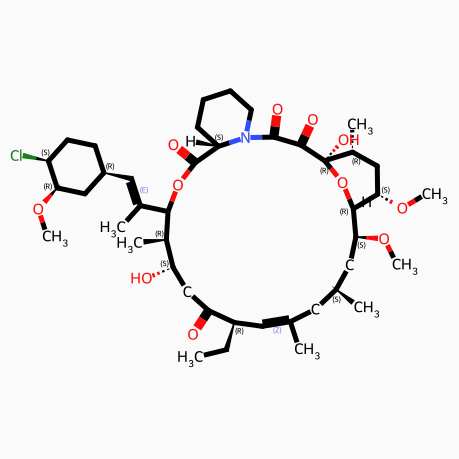 CC[C@@H]1/C=C(/C)C[C@H](C)C[C@H](OC)[C@H]2O[C@@](O)(C(=O)C(=O)N3CCCC[C@H]3C(=O)OC(/C(C)=C/[C@@H]3CC[C@H](Cl)[C@H](OC)C3)[C@H](C)[C@@H](O)CC1=O)[C@H](C)C[C@@H]2OC